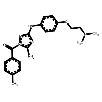 Cc1ccc(C(=O)n2nc(Nc3ccc(OCCN(C)C)cc3)nc2N)cc1